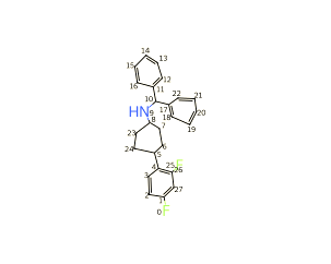 Fc1ccc(C2CCC(NC(c3ccccc3)c3ccccc3)CC2)c(F)c1